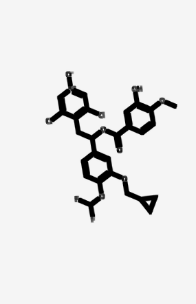 COc1ccc(C(=O)OC(Cc2c(Cl)c[n+]([O-])cc2Cl)c2ccc(OC(F)F)c(OCC3CC3)c2)cc1O